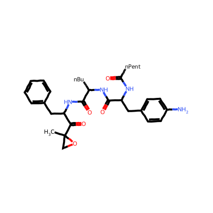 CCCCCC(=O)NC(Cc1ccc(N)cc1)C(=O)NC(CCCC)C(=O)NC(Cc1ccccc1)C(=O)C1(C)CO1